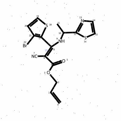 C=CCOC(=O)/C(C#N)=C(\NC(C)c1nccs1)c1sccc1Br